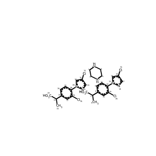 C1CNCCN1.CC(C(=O)O)c1ccc(-n2cc(Cl)cn2)c(Cl)c1.CC(C(=O)O)c1ccc(-n2cc(Cl)cn2)c(Cl)c1